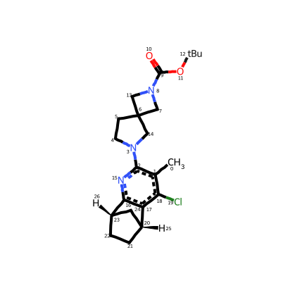 Cc1c(N2CCC3(CN(C(=O)OC(C)(C)C)C3)C2)nc2c(c1Cl)[C@@H]1CC[C@H]2C1